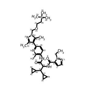 CCn1nccc1C(=O)NC(C(=O)Nc1ccc(-c2c(C)nn(COCCS(C)(C)C)c2C)nc1F)C(C1CC1)C1CC1